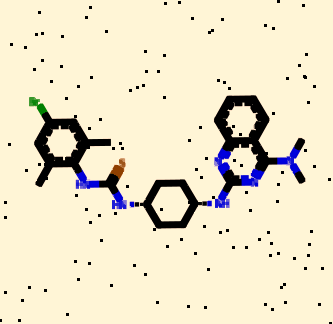 Cc1cc(Br)cc(C)c1NC(=S)N[C@H]1CC[C@@H](Nc2nc(N(C)C)c3ccccc3n2)CC1